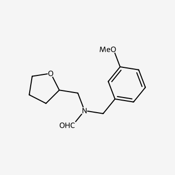 COc1cccc(CN(C=O)CC2CCCO2)c1